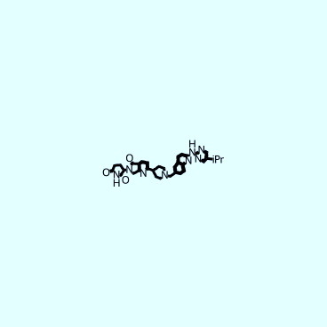 CC(C)c1cnc(Nc2ccc3cc(CN4CCC(c5ccc6c(n5)CN(C5CCC(=O)NC5=O)C6=O)CC4)ccc3n2)nc1